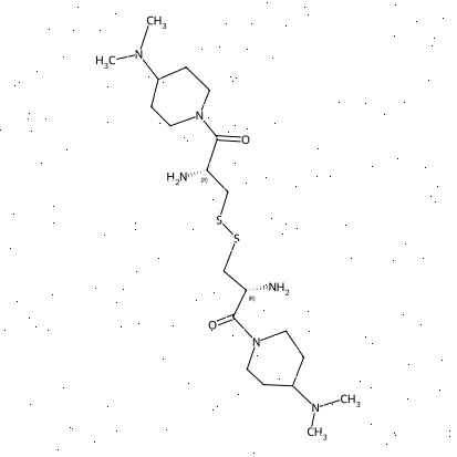 CN(C)C1CCN(C(=O)[C@@H](N)CSSC[C@H](N)C(=O)N2CCC(N(C)C)CC2)CC1